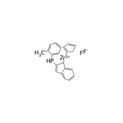 Cc1ccccc1PC1=Cc2ccccc2[CH]1[Zr+2][C]1=CC=CC1.[F-].[F-]